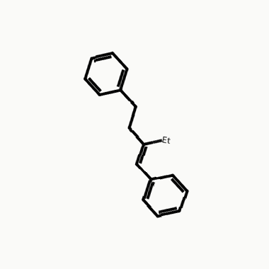 CC/C(=C\c1ccccc1)CCc1ccccc1